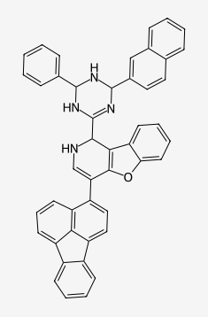 C1=C(c2ccc3c4c(cccc24)-c2ccccc2-3)c2oc3ccccc3c2C(C2=NC(c3ccc4ccccc4c3)NC(c3ccccc3)N2)N1